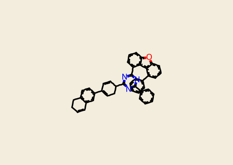 C1=Cc2cc(C3=CCC(c4nc(-c5ccccc5)nc(-c5cccc6oc7cccc(-c8ccccc8)c7c56)n4)C=C3)ccc2CC1